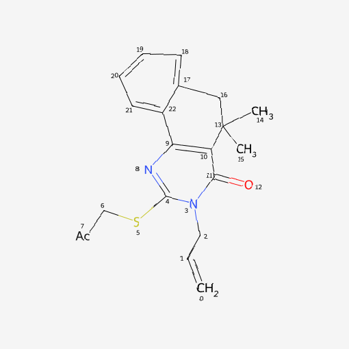 C=CCn1c(SCC(C)=O)nc2c(c1=O)C(C)(C)Cc1ccccc1-2